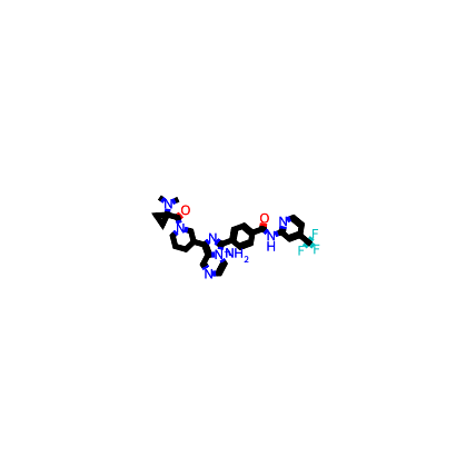 CN(C)C1(C(=O)N2CCCC(C3=C4C=NC=C[N+]4(N)C(c4ccc(C(=O)Nc5cc(C(F)(F)F)ccn5)cc4)=N3)C2)CC1